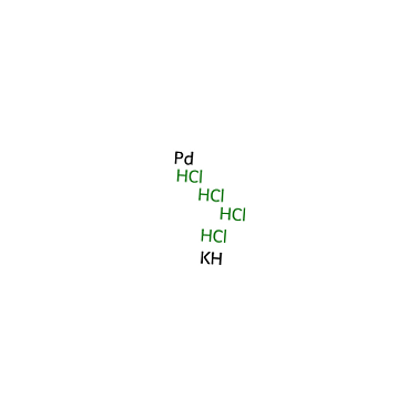 Cl.Cl.Cl.Cl.[KH].[Pd]